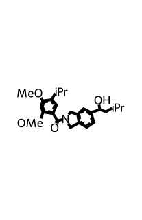 COc1cc(OC)c(C(C)C)cc1C(=O)N1Cc2ccc(C(O)CC(C)C)cc2C1